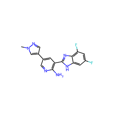 Cn1cc(-c2cnc(N)c(-c3nc4c(F)cc(F)cc4[nH]3)c2)cn1